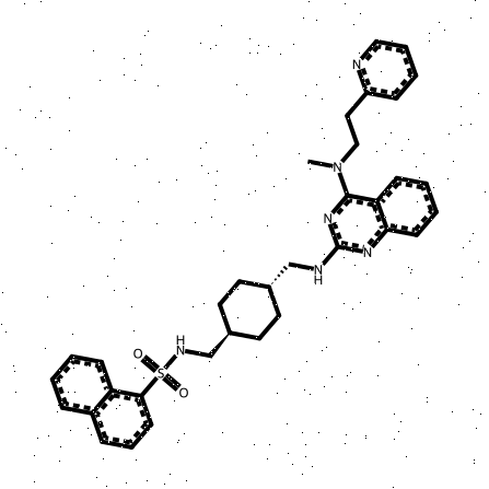 CN(CCc1ccccn1)c1nc(NC[C@H]2CC[C@H](CNS(=O)(=O)c3cccc4ccccc34)CC2)nc2ccccc12